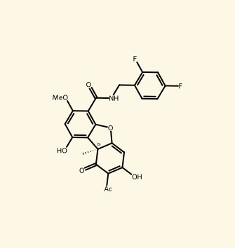 COc1cc(O)c2c(c1C(=O)NCc1ccc(F)cc1F)OC1=CC(O)=C(C(C)=O)C(=O)[C@]12C